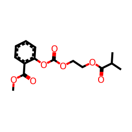 COC(=O)c1ccccc1OC(=O)OCCOC(=O)C(C)C